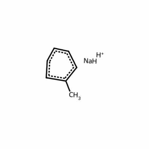 Cc1ccccc1.[H+].[NaH]